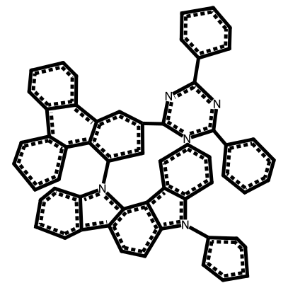 c1ccc(-c2nc(-c3ccccc3)nc(-c3cc(-n4c5ccccc5c5ccc6c(c7ccccc7n6-c6ccccc6)c54)c4c5ccccc5c5ccccc5c4c3)n2)cc1